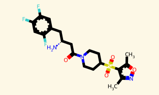 Cc1noc(C)c1S(=O)(=O)C1CCN(C(=O)C[C@H](N)Cc2cc(F)c(F)cc2F)CC1